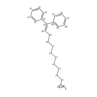 CCCCCCCCCCC=C(c1ccccc1)c1ccccc1